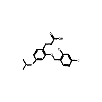 CC(C)Oc1ccc(CCC(=O)O)c(OCc2ccc(Cl)cc2Cl)c1